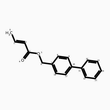 CC=CC(=O)OCc1ccc(-c2ccccc2)cc1